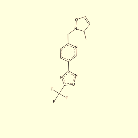 CC1C=CON1Cc1ccc(-c2noc(C(F)(F)F)n2)cn1